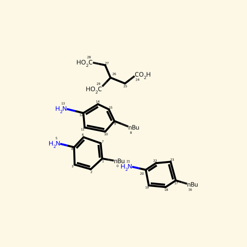 CCCCc1ccc(N)cc1.CCCCc1ccc(N)cc1.CCCCc1ccc(N)cc1.O=C(O)CC(CC(=O)O)C(=O)O